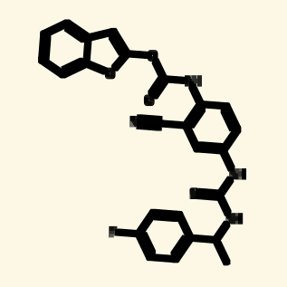 CC(NC(=S)Nc1ccc(NC(=O)Oc2cc3ccccc3o2)c(C#N)c1)c1ccc(F)cc1